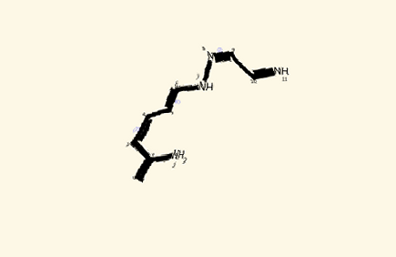 C=C(N)/C=C\C=C\N/N=C\C=N